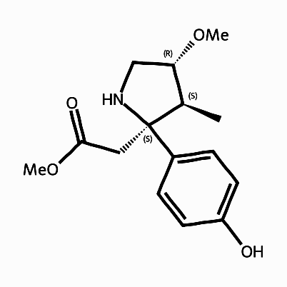 COC(=O)C[C@]1(c2ccc(O)cc2)NC[C@H](OC)[C@H]1C